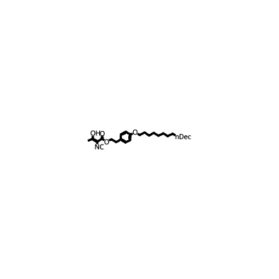 [C-]#[N+]/C(C(=O)OCCc1ccc(OCCCCCCCCCCCCCCCCCC)cc1)=C(\C)O